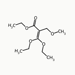 CCOC(=O)C(COC)=C(OCC)OCC